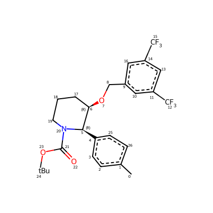 Cc1ccc([C@@H]2[C@H](OCc3cc(C(F)(F)F)cc(C(F)(F)F)c3)CCCN2C(=O)OC(C)(C)C)cc1